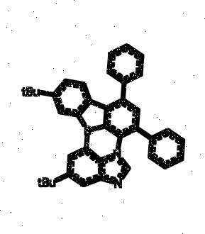 CC(C)(C)c1ccc2c(c1)B1c3c-2c(-c2ccccc2)cc(-c2ccccc2)c3-n2cnc3cc(C(C)(C)C)cc1c32